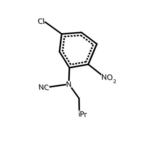 CC(C)CN(C#N)c1cc(Cl)ccc1[N+](=O)[O-]